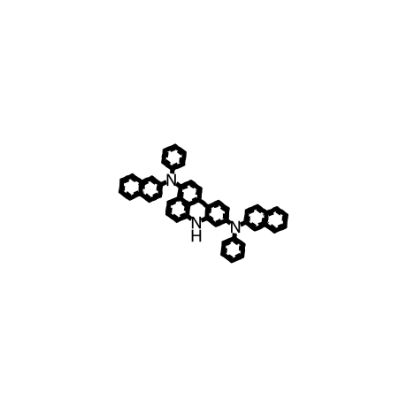 c1ccc(N(c2ccc3c(c2)Nc2cccc4c(N(c5ccccc5)c5ccc6ccccc6c5)ccc-3c24)c2ccc3ccccc3c2)cc1